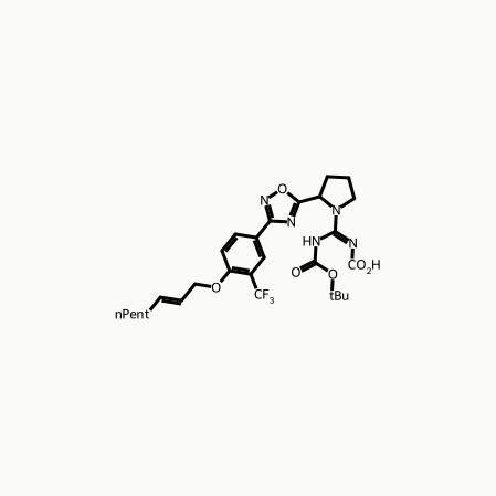 CCCCCC=CCOc1ccc(-c2noc(C3CCCN3C(=NC(=O)O)NC(=O)OC(C)(C)C)n2)cc1C(F)(F)F